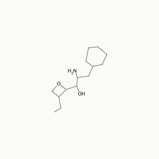 CCC1COC1C(O)C(N)CC1CCCCC1